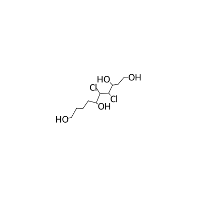 OCCCCC(O)C(Cl)C(Cl)C(O)CCO